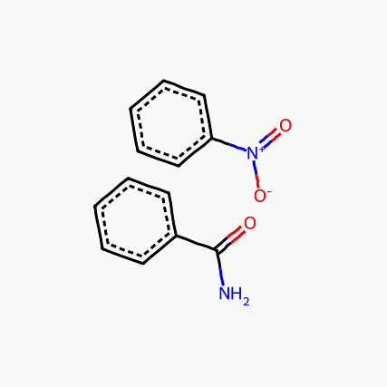 NC(=O)c1ccccc1.O=[N+]([O-])c1ccccc1